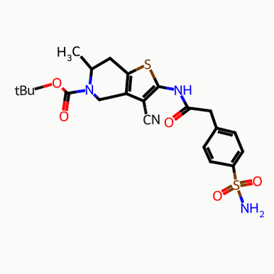 CC1Cc2sc(NC(=O)Cc3ccc(S(N)(=O)=O)cc3)c(C#N)c2CN1C(=O)OC(C)(C)C